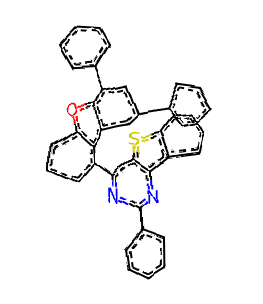 c1ccc(-c2cc(-c3ccccc3)c3oc4cccc(-c5nc(-c6ccccc6)nc6c5sc5ccccc56)c4c3c2)cc1